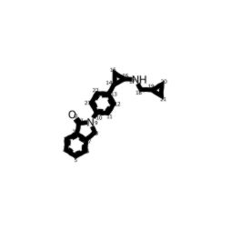 O=C1c2ccccc2CN1c1ccc(C2CC2NCC2CC2)cc1